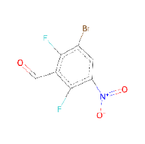 O=Cc1c(F)c(Br)cc([N+](=O)[O-])c1F